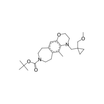 COCC1(CN2CCOc3cc4c(c(C)c32)CCN(C(=O)OC(C)(C)C)CC4)CC1